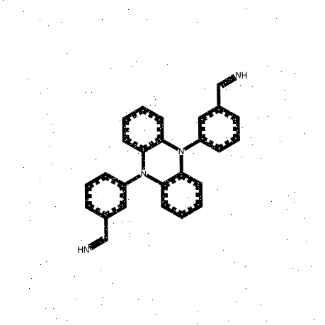 N=Cc1cccc(N2c3ccccc3N(c3cccc(C=N)c3)c3ccccc32)c1